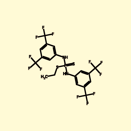 CCSP(=S)(Nc1cc(C(F)(F)F)cc(C(F)(F)F)c1)Nc1cc(C(F)(F)F)cc(C(F)(F)F)c1